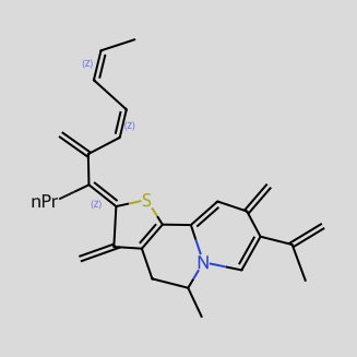 C=C(C)C1=CN2C(=CC1=C)c1s/c(=C(/CCC)C(=C)/C=C\C=C/C)c(=C)c1CC2C